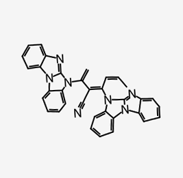 C=C(/C(C#N)=C(\C=C/C)n1c2ccccc2n2c3ccccc3nc12)n1c2ccccc2n2c3ccccc3nc12